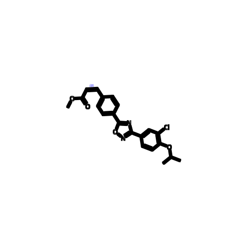 COC(=O)/C=C\c1ccc(-c2nc(-c3ccc(OC(C)C)c(Cl)c3)no2)cc1